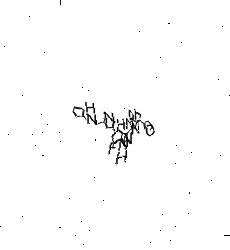 Fc1cc(-c2cncc(CNCc3ccccc3)c2)cc2c(-c3nc4c(-c5ccoc5)ccnc4[nH]3)n[nH]c12